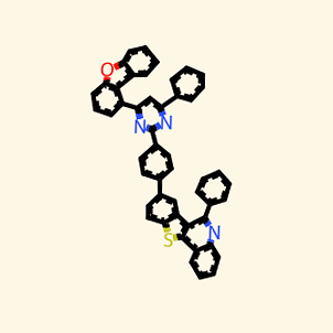 c1ccc(-c2cc(-c3cccc4oc5ccccc5c34)nc(-c3ccc(-c4ccc5sc6c7ccccc7nc(-c7ccccc7)c6c5c4)cc3)n2)cc1